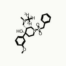 [2H]C([2H])([2H])N(C)C[C@@H]1CN(S(=O)(=O)Cc2ccccc2)CC[C@@]1(O)c1cccc(OC)c1